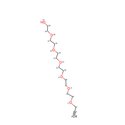 C#CCOCCOCCOCCOCCOCCOCCO